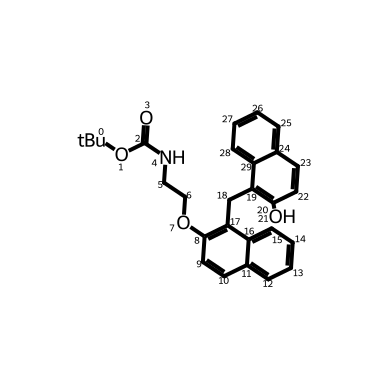 CC(C)(C)OC(=O)NCCOc1ccc2ccccc2c1Cc1c(O)ccc2ccccc12